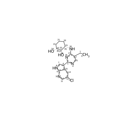 CCc1cnc(-c2c[nH]c3ncc(Cl)cc23)nc1N[C@H]1CCC[C@@H](O)[C@H]1O